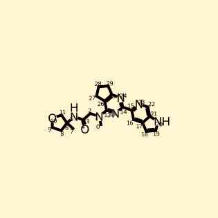 CN(CC(=O)NC1(C)CCOC1)c1nc(-c2cc3cc[nH]c3cn2)nc2c1CCC2